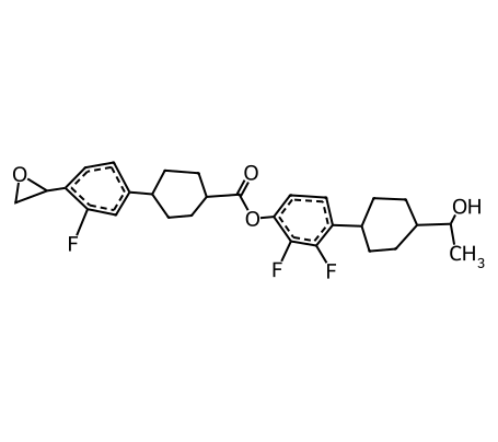 CC(O)C1CCC(c2ccc(OC(=O)C3CCC(c4ccc(C5CO5)c(F)c4)CC3)c(F)c2F)CC1